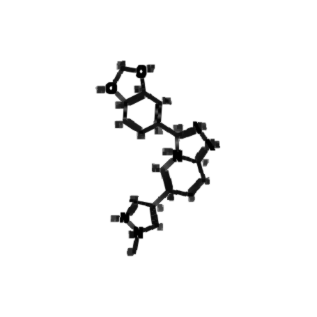 Cn1cc(-c2ccc3nnc(-c4ccc5c(c4)OCO5)n3c2)cn1